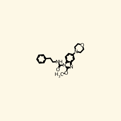 COc1nc2cc(N3CCOCC3)ccc2n1C(=O)NCCc1ccccc1